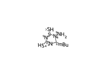 CCCCC1N=C(S)N=C(S)N1N